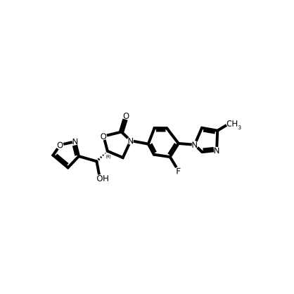 Cc1cn(-c2ccc(N3C[C@H](C(O)c4ccon4)OC3=O)cc2F)cn1